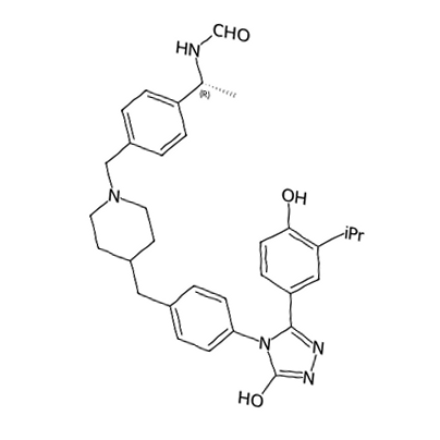 CC(C)c1cc(-c2nnc(O)n2-c2ccc(CC3CCN(Cc4ccc([C@@H](C)NC=O)cc4)CC3)cc2)ccc1O